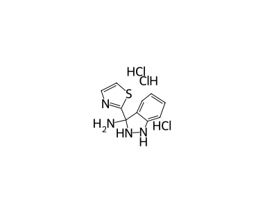 Cl.Cl.Cl.NC1(c2nccs2)NNc2ccccc21